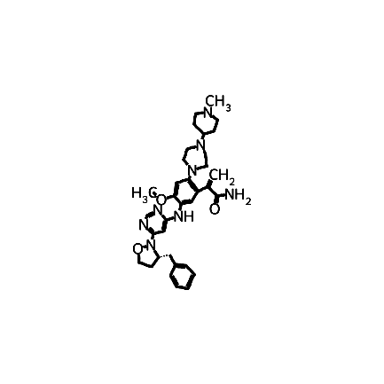 C=C(C(N)=O)c1cc(Nc2cc(N3OCC[C@H]3Cc3ccccc3)ncn2)c(OC)cc1N1CCN(C2CCN(C)CC2)CC1